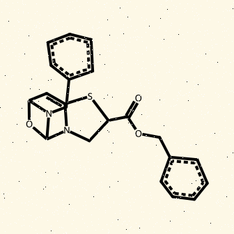 O=C(OCc1ccccc1)C1CN2C(=CC3OC2N3Cc2ccccc2)S1